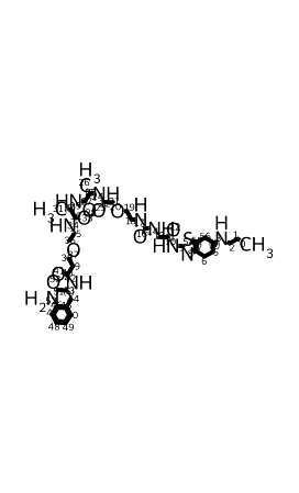 CCCN[C@H]1CCc2nc(NC(=O)CNC(=O)NCCOCC(=O)N[C@@H](C)C(=O)N[C@@H](C)C(=O)NCCOCCC(=O)N[C@@H](Cc3ccccc3)C(N)=O)sc2C1